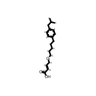 CC(C)Cc1ccc(CCCCCOCC=CC(=O)O)cc1